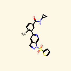 Cc1ccc(C(=O)NC2CC2)cc1-c1cc2cnn(S(=O)(=O)c3cccs3)c2cn1